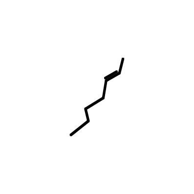 C/C=C/CCCC